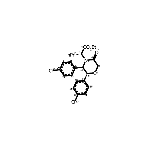 CCC[C@H](C(=O)OCC)N1C(=O)CO[C@@H](c2ccc(Cl)cc2)[C@H]1c1ccc(Cl)cc1